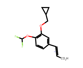 O=C(O)/C=C/c1ccc(OC(F)F)c(OCC2CC2)c1